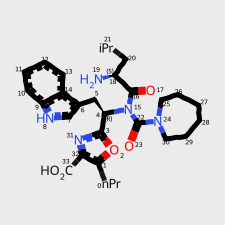 CCCc1oc([C@@H](Cc2c[nH]c3ccccc23)N(C(=O)[C@@H](N)CC(C)C)C(=O)N2CCCCCC2)nc1C(=O)O